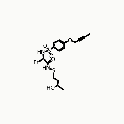 CC#CCOc1ccc(S(=O)(=O)NC(CC)C(=O)NSCCC(C)O)cc1